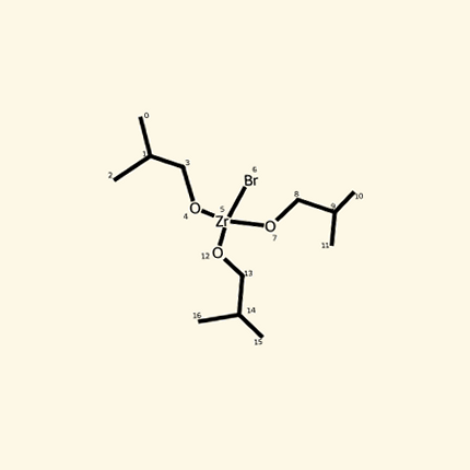 CC(C)C[O][Zr]([Br])([O]CC(C)C)[O]CC(C)C